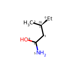 CC[C@H](C)CC(N)O